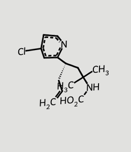 C=CC[C@@H](CC(C)(C)NC(=O)O)c1cc(Cl)ccn1